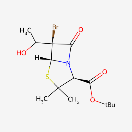 CC(O)[C@]1(Br)C(=O)N2[C@@H](C(=O)OC(C)(C)C)C(C)(C)S[C@@H]21